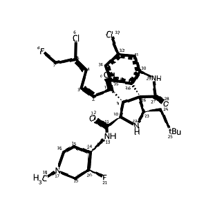 C=C(/C=C\C=C(\Cl)CF)[C@H]1[C@H](C(=O)N[C@@H]2CCN(C)C[C@@H]2F)N[C@H](CC(C)(C)C)[C@]12C(=O)Nc1cc(Cl)ccc12